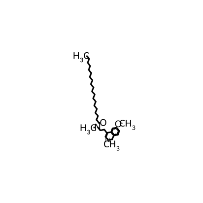 CCCCCCCCCCCCCCCCCCCC(=O)N(C)CCC1=C[C@@H](C)Cc2ccc(OC)cc21